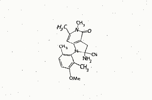 COc1ccc(C)c(N2c3cc(C)n(C)c(=O)c3CC2(N)C#N)c1C